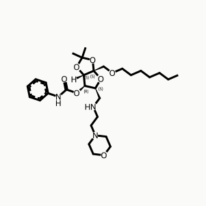 CCCCCCCOC[C@@]12O[C@@H](CNCCN3CCOCC3)[C@@H](OC(=O)Nc3ccccc3)[C@@H]1OC(C)(C)O2